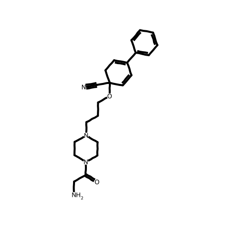 N#CC1(OCCCN2CCN(C(=O)CN)CC2)C=CC(c2ccccc2)=CC1